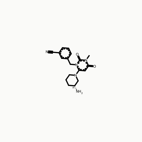 Cn1c(=O)cc(N2CCC[C@@H](N)C2)n(Cc2cccc(C#N)c2)c1=O